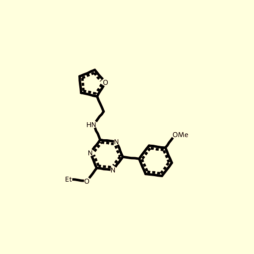 CCOc1nc(NCc2ccco2)nc(-c2cccc(OC)c2)n1